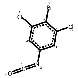 O=C=Nc1cc(Cl)c(Br)c(Cl)c1